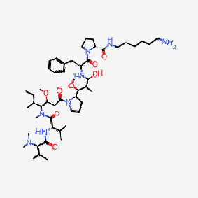 CCC(C)C(C(CC(=O)N1CCCC1C(OC)C(C)C(O)N[C@@H](Cc1ccccc1)C(=O)N1CCC[C@@H]1C(=O)NCCCCCCN)OC)N(C)C(=O)[C@@H](NC(=O)C(C(C)C)N(C)C)C(C)C